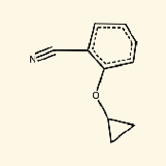 N#Cc1ccccc1OC1CC1